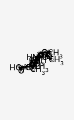 CCOC(=O)C(CC)Oc1ccc(C(=N)NS(=O)(=O)c2c(C)cc(OCCCC(=O)O)c(C)c2C)cc1